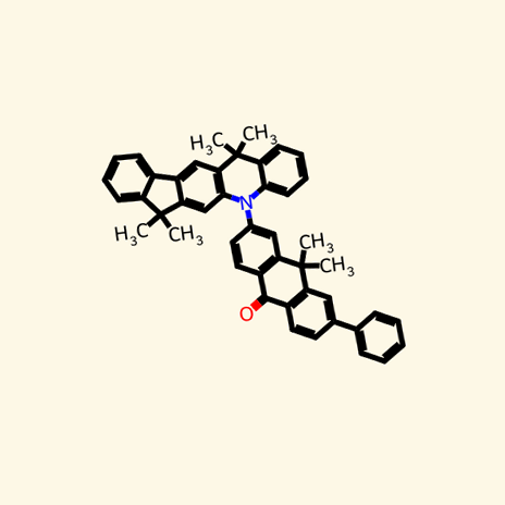 CC1(C)c2cc(-c3ccccc3)ccc2C(=O)c2ccc(N3c4ccccc4C(C)(C)c4cc5c(cc43)C(C)(C)c3ccccc3-5)cc21